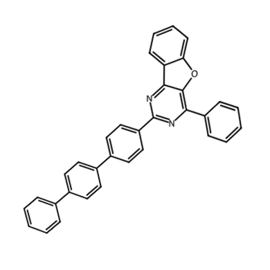 c1ccc(-c2ccc(-c3ccc(-c4nc(-c5ccccc5)c5oc6ccccc6c5n4)cc3)cc2)cc1